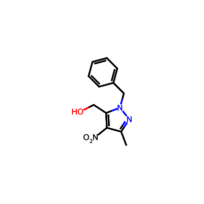 Cc1nn(Cc2ccccc2)c(CO)c1[N+](=O)[O-]